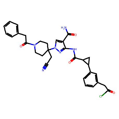 N#CCC1(n2cc(C(N)=O)c(NC(=O)C3CC3c3cccc(CC(=O)Cl)c3)n2)CCN(C(=O)Cc2ccccc2)CC1